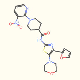 O=C(Nc1nc(-c2ccco2)c(N2CCOCC2)s1)C1CCN(c2ncccc2[N+](=O)[O-])CC1